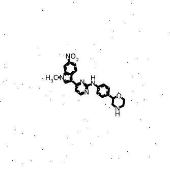 Cn1cc(-c2ccnc(Nc3ccc(C4CNCCO4)cc3)n2)c2ccc([N+](=O)[O-])cc21